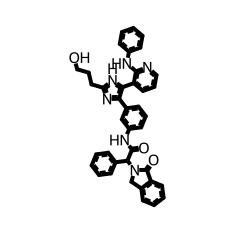 O=C(Nc1cccc(-c2nc(CCCO)[nH]c2-c2cccnc2Nc2ccccc2)c1)C(c1ccccc1)N1Cc2ccccc2C1=O